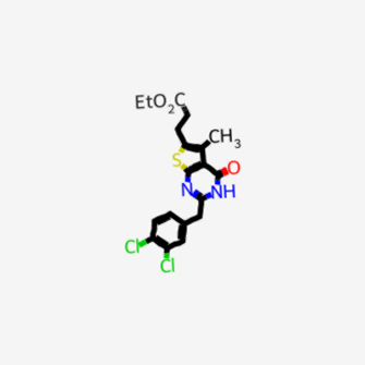 CCOC(=O)CCc1sc2nc(Cc3ccc(Cl)c(Cl)c3)[nH]c(=O)c2c1C